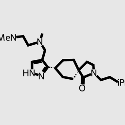 CNCCN(C)Cc1c[nH]nc1[C@H]1CC[C@@]2(CCN(CCC(C)C)C2=O)CC1